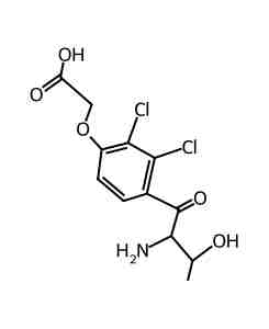 CC(O)C(N)C(=O)c1ccc(OCC(=O)O)c(Cl)c1Cl